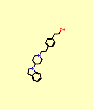 OCCc1ccc(CCN2CCC(N3CCc4ccccc43)CC2)cc1